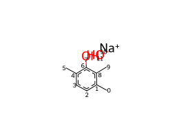 Cc1ccc(C)c(O)c1C.[Na+].[OH-]